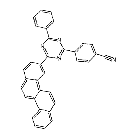 N#Cc1ccc(-c2nc(-c3ccccc3)nc(-c3ccc4ccc5c6ccccc6ccc5c4c3)n2)cc1